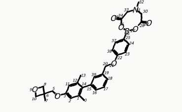 Cc1cc(OCC2(C)COC2)cc(C)c1-c1cccc(COc2ccc(B3OC(=O)CN(C)CC(=O)O3)cc2)c1